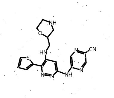 N#Cc1cnc(Nc2cc(NCC3CNCCO3)c(-c3cccs3)nn2)cn1